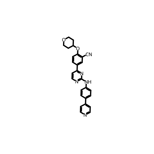 N#Cc1cc(-c2ccnc(Nc3ccc(-c4ccncc4)cc3)n2)ccc1OC1CCOCC1